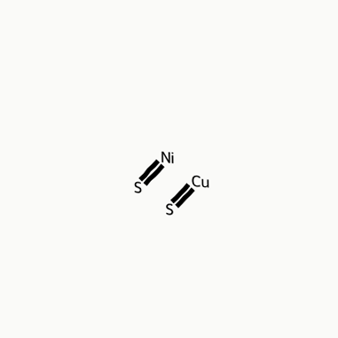 [S]=[Cu].[S]=[Ni]